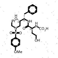 COc1ccc(S(=O)(=O)N(CC(C)C)C[C@H](O)[C@H](Cc2ccccc2)NC(=O)[C@H](CCO)NC(=O)O)cc1